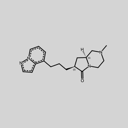 CN1CCN2C(=O)[C@@H](CCCc3cccn4nccc34)C[C@H]2C1